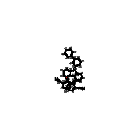 N#Cc1cccc(C#N)c1-c1cccc2c1c1c(-c3c(C#N)cccc3C#N)cccc1n2-c1cccc(-c2ccccc2)c1